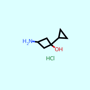 Cl.NC1CC(O)(C2CC2)C1